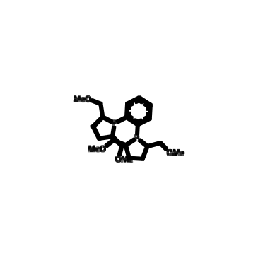 COCC1CCC(COC)P1c1ccccc1P1C(COC)CCC1COC